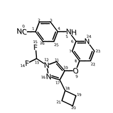 N#Cc1ccc(Nc2cc(Oc3cn(C(F)F)nc3C3CCC3)ccn2)cc1